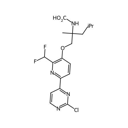 CC(C)CC(C)(COc1ccc(-c2ccnc(Cl)n2)nc1C(F)F)NC(=O)O